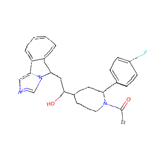 CCC(=O)N1CCC(C(O)CC2c3ccccc3-c3cncn32)CC1c1ccc(F)cc1